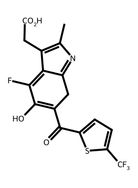 CC1=C(CC(=O)O)C2=C(F)C(O)=C(C(=O)c3ccc(C(F)(F)F)s3)CC2=N1